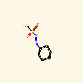 CS(=O)(=O)N=Nc1ccccc1